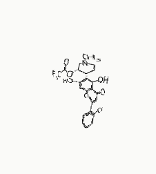 CN1CC[C@H](c2c(O)cc3oc(-c4ccccc4Cl)cc(=O)c3c2O)[C@H](OC(=O)C(F)(F)F)C1